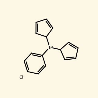 C1=C[CH]([Ti+]([c]2ccccc2)[CH]2C=CC=C2)C=C1.[Cl-]